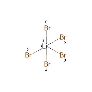 [Br][Li]([Br])([Br])([Br])[Br]